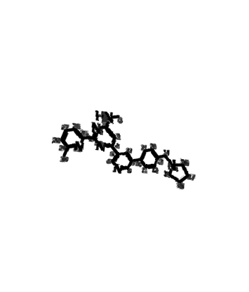 CNc1cc(-c2cncc(-c3ccc(CN4CCCC4)cc3)c2)nc(-c2cccc(C)n2)n1